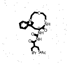 CC(=O)SCC(CC(C)C)C(=O)NC(=O)N[C@H]1Cc2cn(c3ccccc23)CCCCCCNC1=O